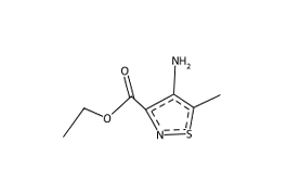 CCOC(=O)c1nsc(C)c1N